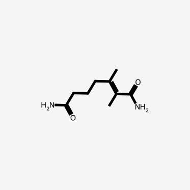 CC(CCCC(N)=O)=C(C)C(N)=O